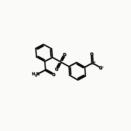 NC(=O)c1ccccc1S(=O)(=O)c1cccc([N+](=O)[O-])c1